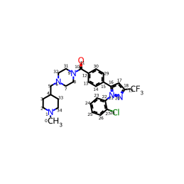 CN1CCC(CN2CCN(C(=O)c3ccc(-c4cc(C(F)(F)F)nn4-c4ccccc4Cl)cc3)CC2)CC1